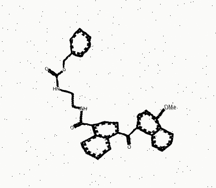 COc1ccc(C(=O)c2ccc(C(=O)NCCNC(=O)OCc3ccccc3)c3ccccc23)c2ccccc12